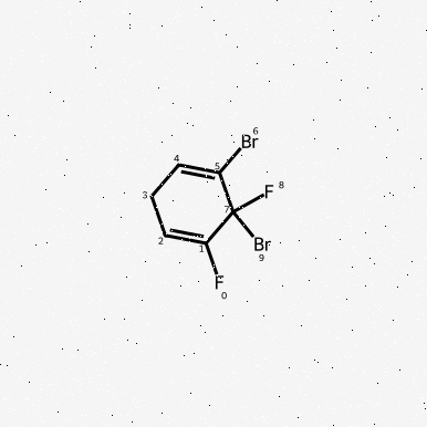 FC1=CCC=C(Br)C1(F)Br